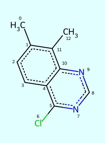 Cc1ccc2c(Cl)ncnc2c1C